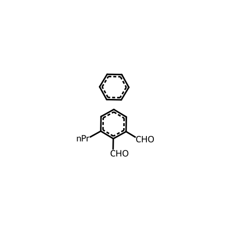 CCCc1cccc(C=O)c1C=O.c1ccccc1